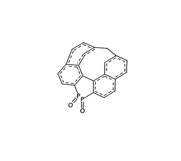 O=Pc1ccc2ccc3cc2c1-c1c(P=O)ccc2ccc(cc12)C3